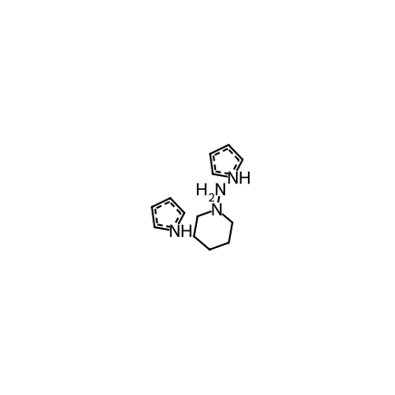 NN1CCCCC1.c1cc[nH]c1.c1cc[nH]c1